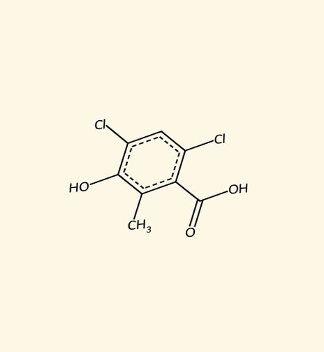 Cc1c(O)c(Cl)cc(Cl)c1C(=O)O